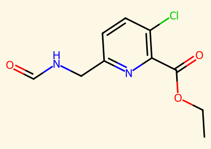 CCOC(=O)c1nc(CNC=O)ccc1Cl